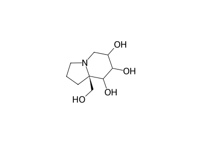 OC[C@@]12CCCN1CC(O)C(O)C2O